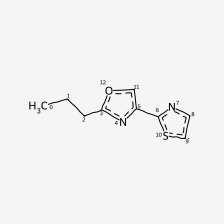 CCCc1nc(-c2nc[c]s2)co1